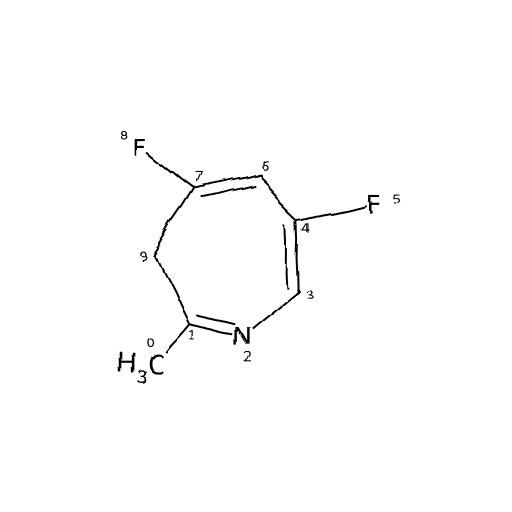 CC1=NC=C(F)C=C(F)C1